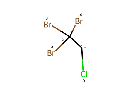 Cl[CH]C(Br)(Br)Br